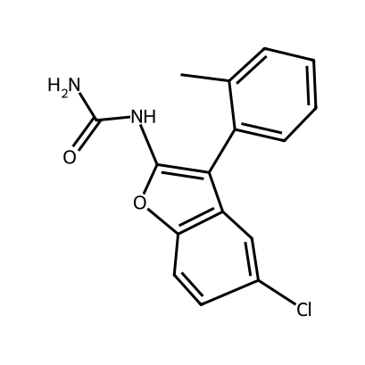 Cc1ccccc1-c1c(NC(N)=O)oc2ccc(Cl)cc12